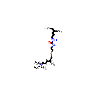 CCC(C)CCCNC(=O)NCCSCC(C)CCC[N+](C)(C)C